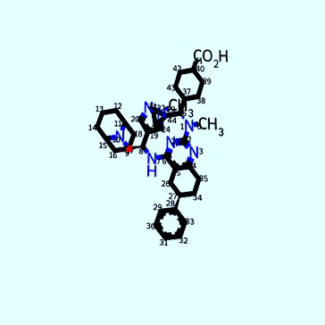 CN(c1nc2c(c(N[C@@H](CN3C4CCCC3CCC4)c3cnn(C)c3)n1)C[C@H](c1ccccc1)CC2)[C@@H](C1CCC(C(=O)O)CC1)C1CC1